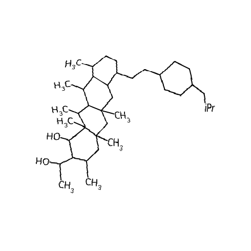 CC(C)CC1CCC(CCC2CCC(C)C3C(C)C4C(C)C5(C)C(O)C(C(C)O)C(C)CC5(C)CC4(C)CC23)CC1